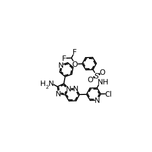 Nc1nc2ccc(-c3cnc(Cl)c(NS(=O)(=O)c4cccc(OC(F)F)c4)c3)nn2c1-c1cccnc1